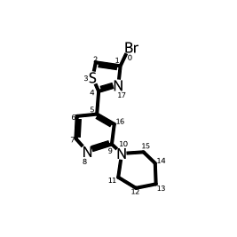 Brc1csc(-c2ccnc(N3CCCCC3)c2)n1